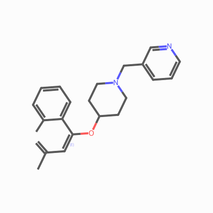 C=C(C)/C=C(/OC1CCN(Cc2cccnc2)CC1)c1ccccc1C